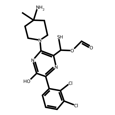 CC1(N)CCN(c2nc(O)c(-c3cccc(Cl)c3Cl)nc2C(S)OC=O)CC1